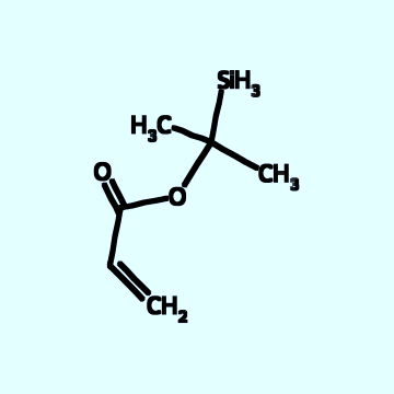 C=CC(=O)OC(C)(C)[SiH3]